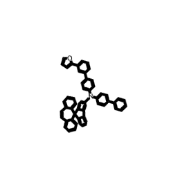 C1=Cc2ccccc2C2(c3ccccc31)c1ccccc1-c1cc(N(c3ccc(-c4ccccc4)cc3)c3ccc(-c4cccc(-c5ccco5)c4)cc3)ccc12